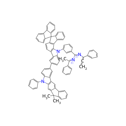 C=C=C(/N=C(\N=C(/C)c1ccccc1)c1cccc(-n2c3ccc(-c4ccc5c(c4)c4cc6c(cc4n5-c4ccccc4)C(C)(C)c4ccccc4-6)cc3c3ccc4c(c32)-c2ccccc2C42c3ccccc3-c3ccccc32)c1)c1ccccc1